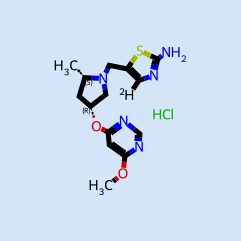 Cl.[2H]c1nc(N)sc1CN1C[C@H](Oc2cc(OC)ncn2)C[C@@H]1C